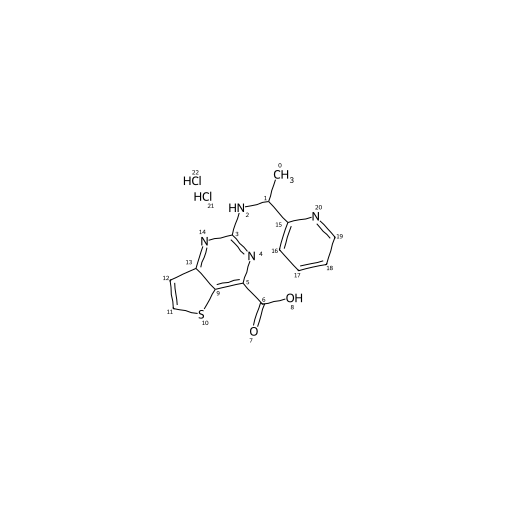 CC(Nc1nc(C(=O)O)c2sccc2n1)c1ccccn1.Cl.Cl